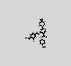 O=C(N[C@H]1CC[C@H](O)CC1)c1cnc(N2CCC3(CC2)CC3)nc1OCc1ccc(CO)c(Cl)c1